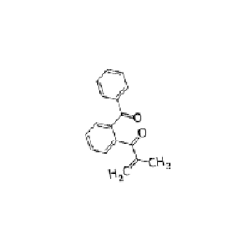 C=C(C)C(=O)c1ccccc1C(=O)c1ccccc1